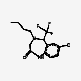 CCCCN1CC(=O)Nc2ccc(Cl)cc2C1C(F)(F)F